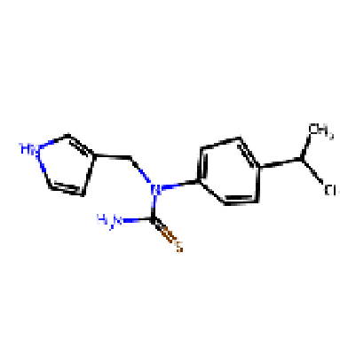 CC(C)c1ccc(N(Cc2cc[nH]c2)C(N)=S)cc1